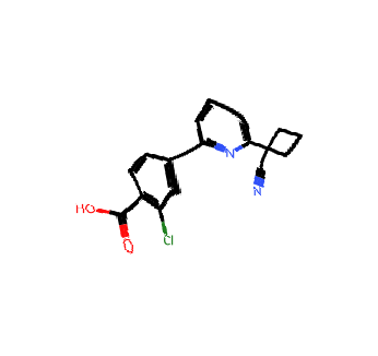 N#CC1(c2cccc(-c3ccc(C(=O)O)c(Cl)c3)n2)CCC1